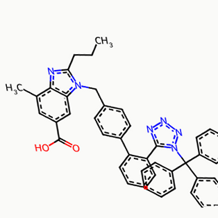 CCCc1nc2c(C)cc(C(=O)O)cc2n1Cc1ccc(-c2ccccc2-c2nnnn2C(c2ccccc2)(c2ccccc2)c2ccccc2)cc1